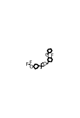 CCC(C)(COCc1ccc(F)c(Oc2ccccc2)c1)c1ccc(OC(F)F)cc1